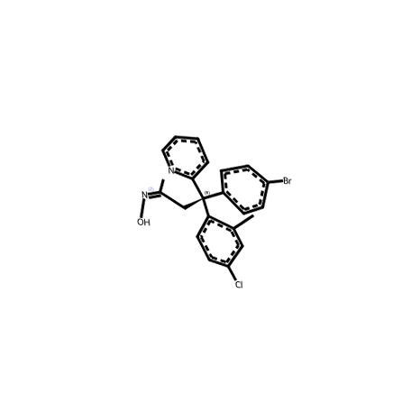 C/C(C[C@](c1ccc(Br)cc1)(c1ccccn1)c1ccc(Cl)cc1C)=N/O